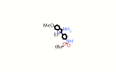 CCn1c(-c2ccc(NC(=O)OCC(C)(C)C)cc2)c(N)c2ccc(OC)cc21